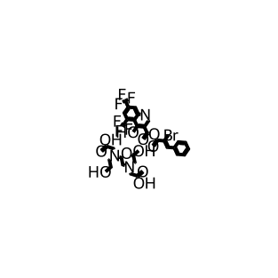 O=C(O)CN(CCO)CCN(CC(=O)O)CC(=O)O.O=C(OC(=O)c1cnc2cc(C(F)(F)F)cc(C(F)(F)F)c2c1O)C(Br)=Cc1ccccc1